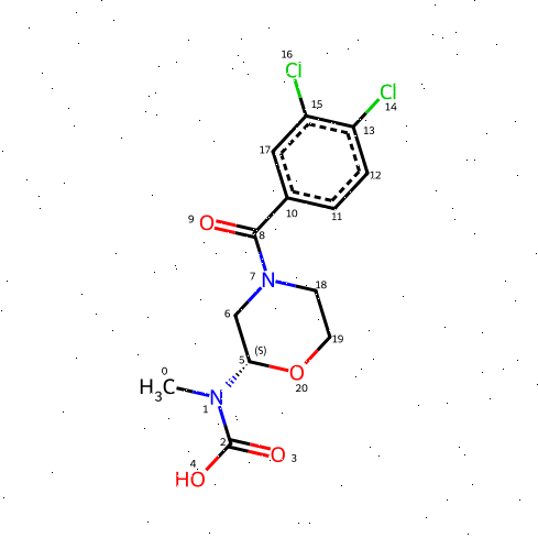 CN(C(=O)O)[C@@H]1CN(C(=O)c2ccc(Cl)c(Cl)c2)CCO1